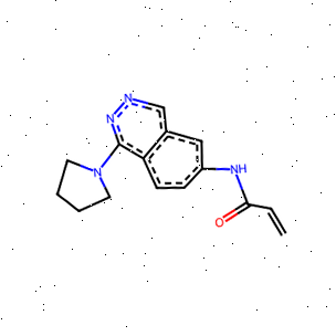 C=CC(=O)Nc1ccc2c(N3CCCC3)nncc2c1